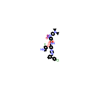 CC1(C)CCC(CN2CCN(c3ccc(C(=O)NS(=O)(=O)c4ccc(NC5CCC(N(C6CC6)C6CC6)CC5)c([N+](=O)[O-])c4)c(Oc4cc5cc[nH]c5cc4F)c3)CC2)=C(c2ccc(Cl)cc2)C1